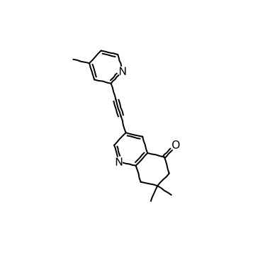 Cc1ccnc(C#Cc2cnc3c(c2)C(=O)CC(C)(C)C3)c1